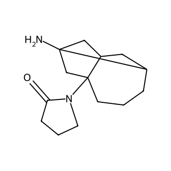 NC12CC3CC1CCCC3(N1CCCC1=O)C2